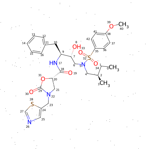 CC[C@@H](C)CN(C[C@@H](O)[C@H](Cc1ccccc1)NC(=O)[C@@H]1CN(Cc2cncs2)C(=O)O1)S(=O)(=O)c1ccc(OC)cc1